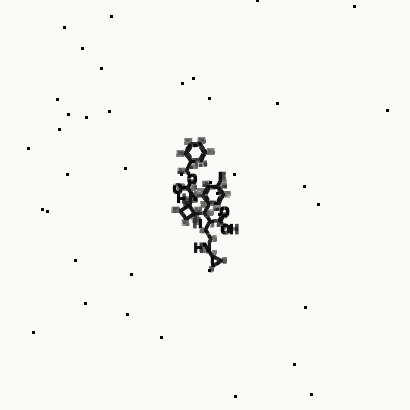 O=C(O)C(CCNC1CC1)C1c2ccc(F)cc2N(C(=O)OCc2ccccc2)[C@@H]2CC[C@H]12